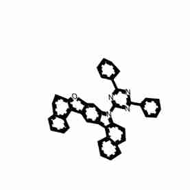 c1ccc(-c2nc(-c3ccccc3)nc(-n3c4cc5oc6ccc7ccccc7c6c5cc4c4c5ccccc5ccc43)n2)cc1